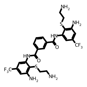 NCCSc1c(N)cc(C(F)(F)F)cc1NC(=O)c1cccc(C(=O)Nc2cc(C(F)(F)F)cc(N)c2SCCN)c1